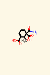 CC1C(C(=O)O)=CC=CC1(C(N)=O)C(=O)O